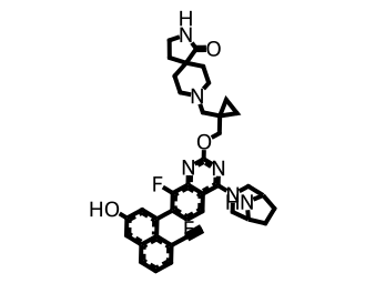 C#Cc1cccc2cc(O)cc(-c3c(F)cc4c(N5CC6CCC(C5)N6)nc(OCC5(CN6CCC7(CCNC7=O)CC6)CC5)nc4c3F)c12